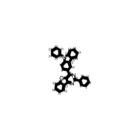 c1ccc(-c2nc(-c3ccc4c(c3)c3ccccc3n4-c3ccccc3)c3oc4ccccc4c3n2)cc1